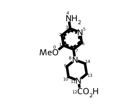 COc1cc(N)ncc1N1CCN(C(=O)O)CC1